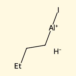 CCC[CH2][Al+][I].[H-]